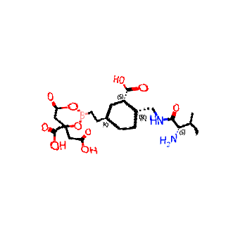 CC(C)[C@H](N)C(=O)NC[C@@H]1CC[C@@H](CCB2OC(=O)CC(CC(=O)O)(C(=O)O)O2)C[C@@H]1C(=O)O